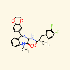 C[C@@H](Cc1ccc(F)c(F)c1)C(=O)NC1N=C(c2ccc3c(c2)OCCO3)c2ccccc2N(C)C1=O